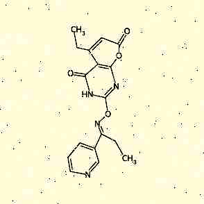 CC/C(=N\Oc1nc2oc(=O)cc(CC)c2c(=O)[nH]1)c1cccnc1